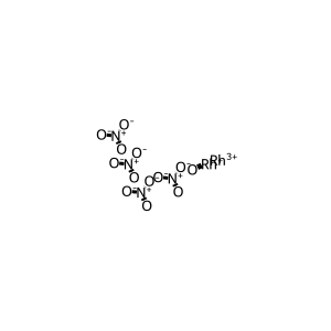 O=[N+]([O-])[O-].O=[N+]([O-])[O-].O=[N+]([O-])[O-].O=[N+]([O-])[O-].[O]=[Rh+].[Rh+3]